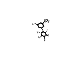 CC(C)c1[c]c(C(C)C)cc(-c2c(F)c(F)c(F)c(F)c2F)c1